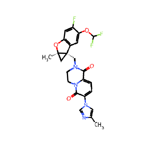 Cc1cn(-c2ccc3n(c2=O)CCN(C[C@]24C[C@@]2(C)Oc2cc(F)c(OC(F)F)cc24)C3=O)cn1